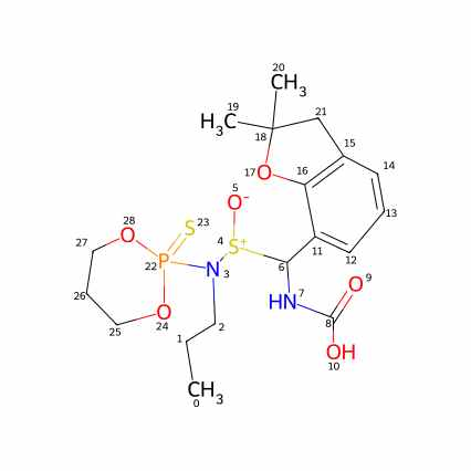 CCCN([S+]([O-])C(NC(=O)O)c1cccc2c1OC(C)(C)C2)P1(=S)OCCCO1